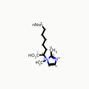 CCCCCCCCCCCCCCC(C(=O)O)[N+]1(C)C=CN=C1C